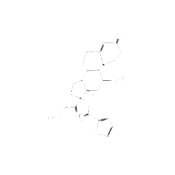 CC12CCC(=O)C=C1CCC1C2C(O)CC2(C)C1CCC2(OC(=O)c1ccco1)C(=O)CO